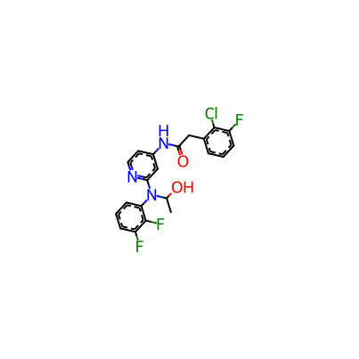 CC(O)N(c1cc(NC(=O)Cc2cccc(F)c2Cl)ccn1)c1cccc(F)c1F